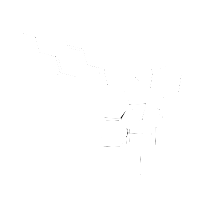 O=C(O)Cc1ccc(NC(=O)[C@@H]2NC3(CCCCC3)[C@@]3(C(=O)Nc4cc(Cl)ccc43)[C@H]2c2cccc(Cl)c2F)cc1